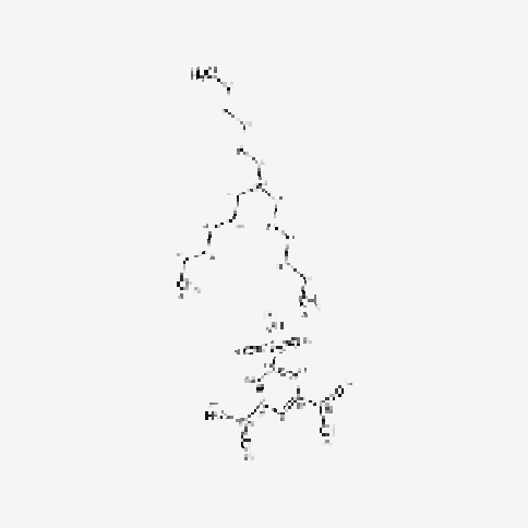 CCCCCCP(CCCCCC)CCCCCC.O=C(O)c1cc(C(=O)O)cc(S(=O)(=O)O)c1